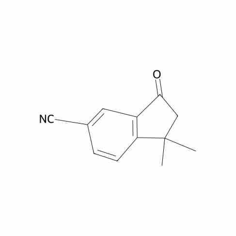 CC1(C)CC(=O)c2cc(C#N)ccc21